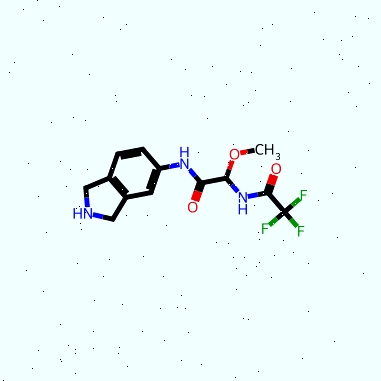 COC(NC(=O)C(F)(F)F)C(=O)Nc1ccc2c(c1)CNC2